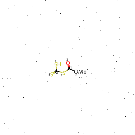 COC(=O)SC(=S)S